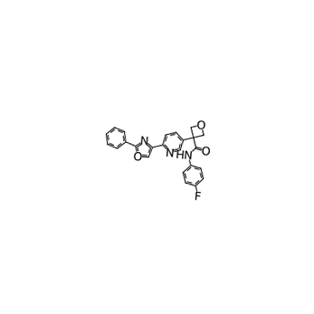 O=C(Nc1ccc(F)cc1)C1(c2ccc(-c3coc(-c4ccccc4)n3)nc2)COC1